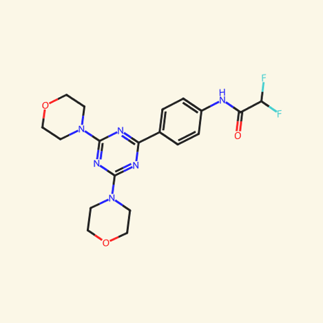 O=C(Nc1ccc(-c2nc(N3CCOCC3)nc(N3CCOCC3)n2)cc1)C(F)F